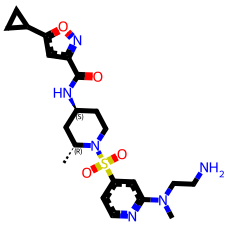 C[C@@H]1C[C@@H](NC(=O)c2cc(C3CC3)on2)CCN1S(=O)(=O)c1ccnc(N(C)CCN)c1